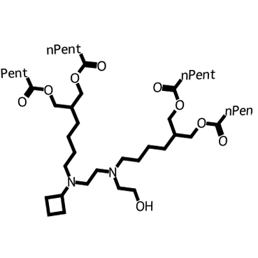 CCCCCC(=O)OCC(CCCCN(CCO)CCN(CCCCC(COC(=O)CCCCC)COC(=O)CCCCC)C1CCC1)COC(=O)CCCCC